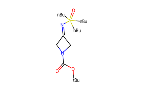 CCCCS(=O)(CCCC)(CCCC)N=C1CN(C(=O)OC(C)(C)C)C1